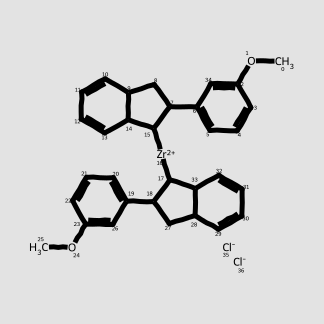 COc1cccc(C2CC3C=CC=CC3[CH]2[Zr+2][CH]2C(c3cccc(OC)c3)CC3C=CC=CC32)c1.[Cl-].[Cl-]